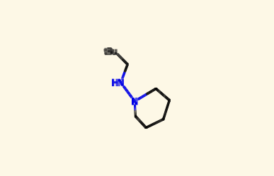 CC(C)(C)CNN1CCCCC1